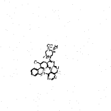 CCc1ncnc(C(C)C)c1-n1c(=O)nc(N2C[C@@H](C)N(C(=O)O)C[C@@H]2C)c2cc(Cl)c(-c3ccccc3F)nc21